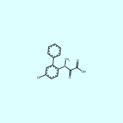 CN(C(=O)C(=O)O)c1ccc(Cl)cc1-c1ccccc1